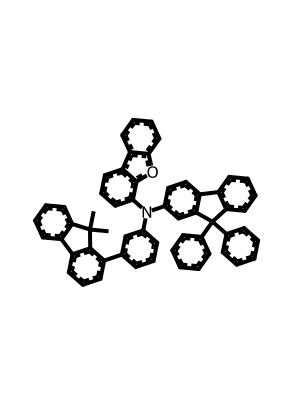 CC1(C)c2ccccc2-c2cccc(-c3cccc(N(c4ccc5c(c4)C(c4ccccc4)(c4ccccc4)c4ccccc4-5)c4cccc5c4oc4ccccc45)c3)c21